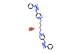 CN(/N=C/c1cc[n+](CCCCCC[n+]2ccc(/C=N/N(C)c3ccccc3)cc2)cc1)c1ccccc1.[Br-].[Br-]